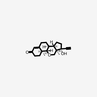 C#C[C@]1(O)CC[C@H]2[C@@H]3CCC4=CC(=O)CC[C@]4(C)[C@H]3OC[C@@]21C